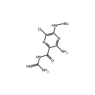 CCCCNc1nc(N)c(C(=O)NC(=N)N)nc1Cl